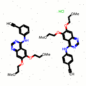 C#Cc1ccc(Nc2ncnc3cc(OCCOC)c(OCCOC)cc23)cc1.C#Cc1cccc(Nc2ncnc3cc(OCCOC)c(OCCOC)cc23)c1.Cl